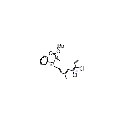 C=C/C(Cl)=C(/Cl)C=C(C)C=CC[C@@H](c1ccccc1)N(C)C(=O)OC(C)(C)C